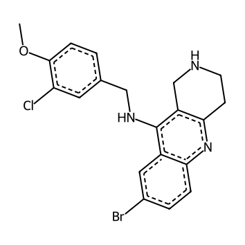 COc1ccc(CNc2c3c(nc4ccc(Br)cc24)CCNC3)cc1Cl